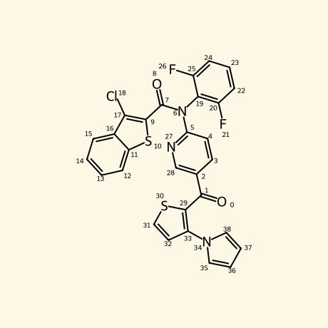 O=C(c1ccc(N(C(=O)c2sc3ccccc3c2Cl)c2c(F)cccc2F)nc1)c1sccc1-n1cccc1